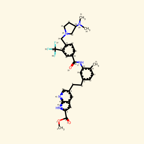 COC(=O)c1cc2cc(CCc3ccc(C)c(NC(=O)c4ccc(CN5CCC(N(C)C)C5)c(C(F)(F)F)c4)c3)cnc2[nH]1